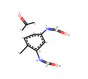 CC(C)=O.Cc1ccc(N=C=O)cc1N=C=O